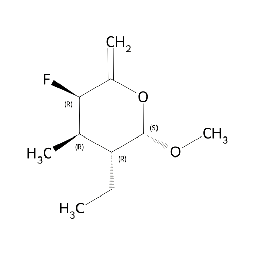 C=C1O[C@H](OC)[C@H](CC)[C@@H](C)[C@H]1F